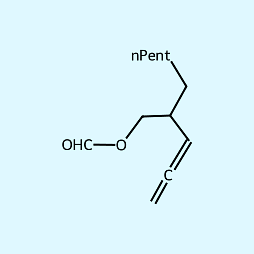 C=C=CC(CCCCCC)COC=O